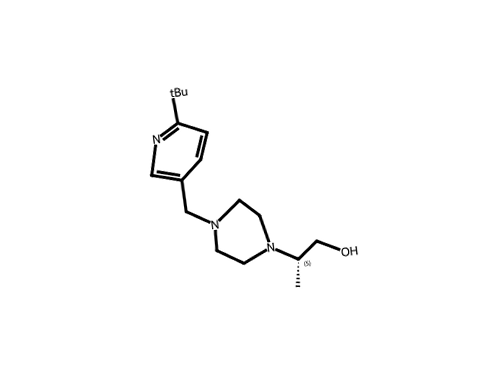 C[C@@H](CO)N1CCN(Cc2ccc(C(C)(C)C)nc2)CC1